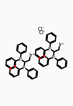 [Cl-].[Cl-].[Ir+][CH2]C(P(c1ccccc1)c1ccccc1)P(c1ccccc1)c1ccccc1.[Ir+][CH2]C(P(c1ccccc1)c1ccccc1)P(c1ccccc1)c1ccccc1